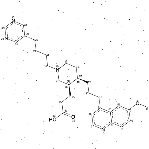 COc1ccc2nccc(CCC[C@@H]3CCN(CCCCc4cncnc4)C[C@@H]3CCC(=O)O)c2c1